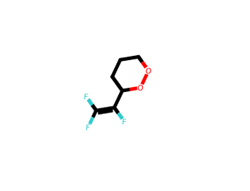 FC(F)=C(F)C1CCCOO1